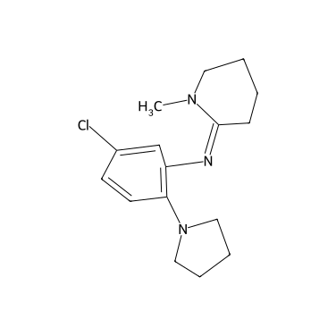 CN1CCCCC1=Nc1cc(Cl)ccc1N1CCCC1